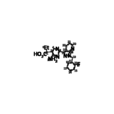 CCC(C(=O)O)c1cnc(-c2nn(Cc3ccccc3F)c3ncccc23)nc1N